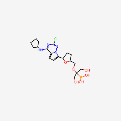 OCC(CO)(OCC1CC[C@H](c2ccc3c(NC4CCCC4)nc(Cl)nn23)O1)P(O)O